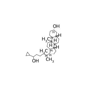 C[C@H](CCCC(O)C1CC1)[C@H]1CC[C@H]2[C@@H]3CC[C@H]4C[C@@H](O)CC[C@]4(C)[C@H]3CC[C@]12C